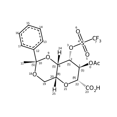 CC(=O)O[C@@H]1[C@@H](OS(=O)(=O)C(F)(F)F)[C@H]2O[C@@](C)(c3ccccc3)OC[C@H]2O[C@H]1C(=O)O